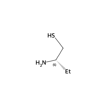 CC[C@H](N)CS